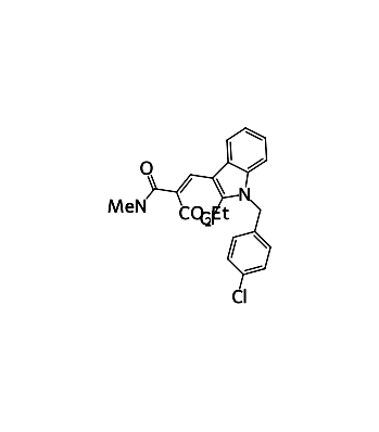 CCOC(=O)C(=Cc1c(Cl)n(Cc2ccc(Cl)cc2)c2ccccc12)C(=O)NC